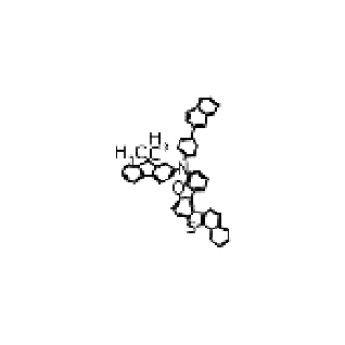 CC1(C)c2ccccc2-c2ccc(N(c3ccc(-c4ccc5ccccc5c4)cc3)c3cccc4c3oc3ccc5sc6c7ccccc7ccc6c5c34)cc21